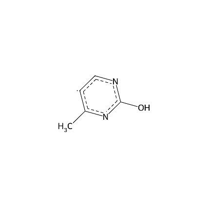 Cc1[c]cnc(O)n1